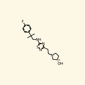 CC(C)(CNc1nc(CCN2CC[C@H](O)C2)ns1)c1ccc(F)cc1